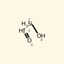 O[SiH3].[O]=[Hf]